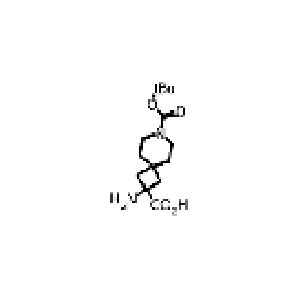 CC(C)(C)OC(=O)N1CCC2(CC1)CC(N)(C(=O)O)C2